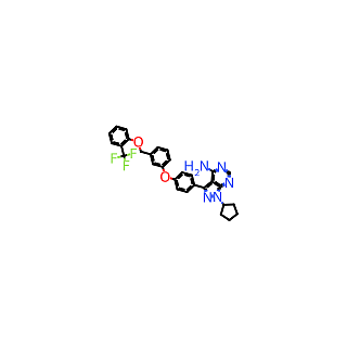 Nc1ncnc2c1c(-c1ccc(Oc3cccc(COc4ccccc4C(F)(F)F)c3)cc1)nn2C1CCCC1